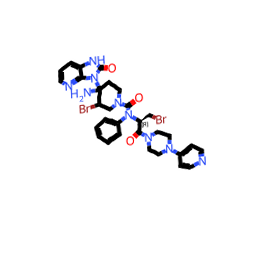 NC1(n2c(=O)[nH]c3cccnc32)CCN(C(=O)N(c2ccccc2)[C@@H](CBr)C(=O)N2CCN(c3ccncc3)CC2)CC1Br